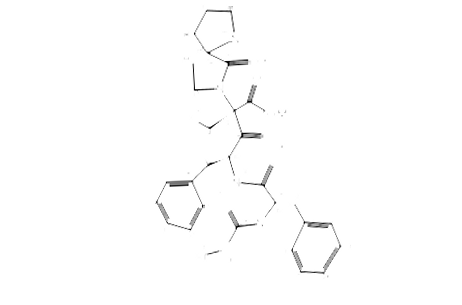 COC(=O)[C@](CC(C)C)(C(=O)[C@H](Cc1ccccc1)NC(=O)[C@H](Cc1ccccc1)NC(=O)OC(C)(C)C)N1CC[C@@]2(CCCN2)C1=O